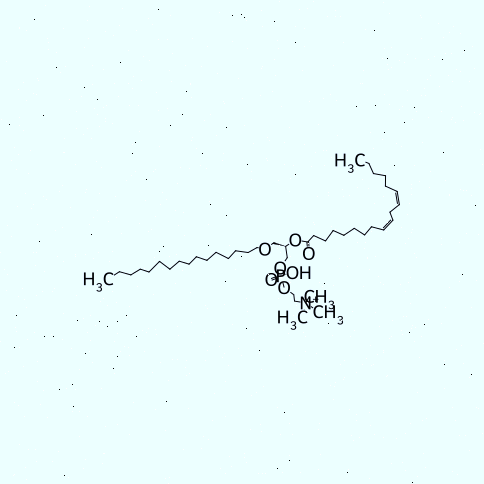 CCCCC/C=C\C/C=C\CCCCCCCC(=O)O[C@H](COCCCCCCCCCCCCCCCC)COP(=O)(O)OCC[N+](C)(C)C